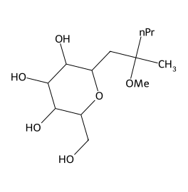 CCCC(C)(CC1OC(CO)C(O)C(O)C1O)OC